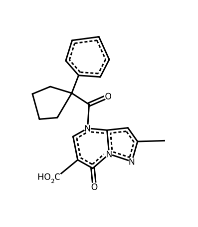 Cc1cc2n(C(=O)C3(c4ccccc4)CCCC3)cc(C(=O)O)c(=O)n2n1